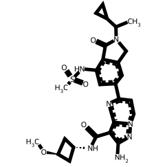 CO[C@H]1C[C@H](NC(=O)c2c(N)nn3ccc(-c4cc5c(c(NS(C)(=O)=O)c4)C(=O)N(C(C)C4CC4)C5)nc23)C1